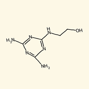 Nc1nc(N)nc(NCCO)n1